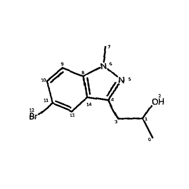 CC(O)Cc1nn(C)c2ccc(Br)cc12